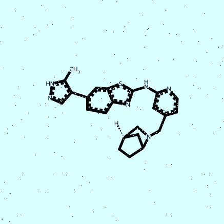 Cc1[nH]ncc1-c1ccc2nc(Nc3cc(CN4C[C@@H]5CCC4C5)ccn3)sc2c1